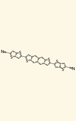 N#Cc1cc2sc(-c3cc4cc5cc6sc(-c7cc8sc(C#N)cc8s7)cc6cc5cc4s3)cc2s1